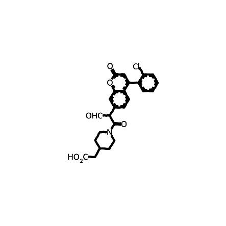 O=CC(C(=O)N1CCC(CC(=O)O)CC1)c1ccc2c(-c3ccccc3Cl)cc(=O)oc2c1